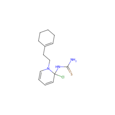 NC(=S)NC1(Cl)C=CC=CN1CCC1=CCCCC1